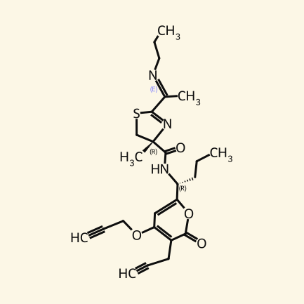 C#CCOc1cc([C@@H](CCC)NC(=O)[C@]2(C)CSC(/C(C)=N/CCC)=N2)oc(=O)c1CC#C